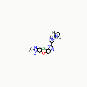 Cc1nc2ccc(Oc3ccc4ncc(-c5cnn([C@H]6C[C@H]7CC[C@@H](C6)N7C)c5)nc4c3Cl)cc2[nH]1